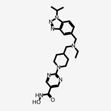 CCN(Cc1ccc2c(c1)nnn2C(C)C)CC1CCN(c2ncc(C(=O)NO)cn2)CC1